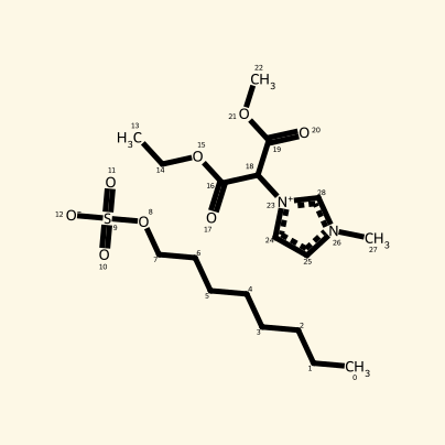 CCCCCCCCOS(=O)(=O)[O-].CCOC(=O)C(C(=O)OC)[n+]1ccn(C)c1